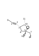 CC#C[C@H]1C[C@@](F)(CI)O[C@H]1C